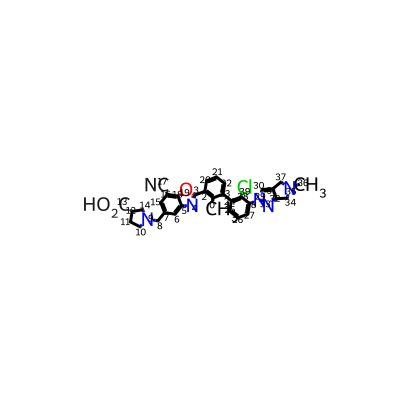 Cc1c(-c2nc3cc(CN4CCC(C(=O)O)C4)cc(C#N)c3o2)cccc1-c1cccc(-n2cc3c(n2)CN(C)C3)c1Cl